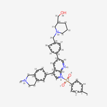 Cc1ccc(S(=O)(=O)n2cc(-c3ccc4c(c3)CCN(C)C4)c3cc(-c4ccc(CN5CCCC(CO)C5)cc4)cnc32)cc1